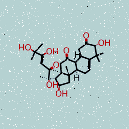 CC(C)(O)C(O)=CC(=O)[C@](C)(O)[C@H]1[C@H](O)C[C@@]2(C)[C@@H]3CC=C4[C@@H](CC(=O)[C@H](O)C4(C)C)[C@]3(C)C(=O)C[C@]12C